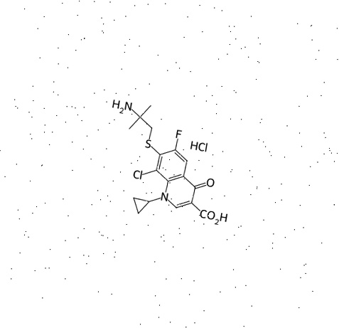 CC(C)(N)CSc1c(F)cc2c(=O)c(C(=O)O)cn(C3CC3)c2c1Cl.Cl